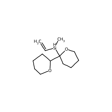 C=C[SiH](C)C1(C2CCCCO2)CCCCO1